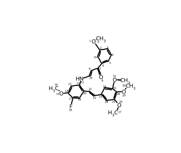 COc1cccc(C(=O)C=CNc2cc(OC)c(F)cc2C=Cc2cc(OC)c(OC)c(OC)c2)c1